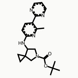 Cc1nc(NC2CN(C(=O)OC(C)(C)C)CC23CC3)ccc1-c1ncccn1